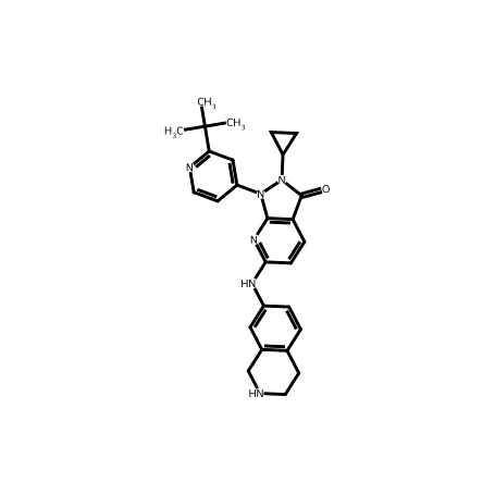 CC(C)(C)c1cc(-n2c3nc(Nc4ccc5c(c4)CNCC5)ccc3c(=O)n2C2CC2)ccn1